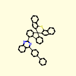 c1ccc(-c2ccc(-c3nc(-c4cccc5c4-c4ccccc4C54c5ccc6ccccc6c5Sc5c4ccc4ccccc54)nc4ccccc34)cc2)cc1